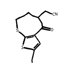 Cc1cc2c(s1)SCCC(CC#N)C2=O